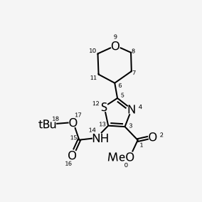 COC(=O)c1nc(C2CCOCC2)sc1NC(=O)OC(C)(C)C